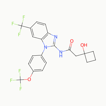 O=C(CC1(O)CCC1)Nc1nc2ccc(C(F)(F)F)cc2n1-c1ccc(OC(F)(F)F)cc1